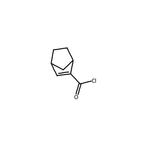 O=C(Cl)C1=CC2CCC1C2